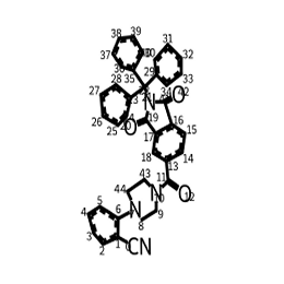 N#Cc1ccccc1N1CCN(C(=O)c2ccc3c(c2)C(=O)N(C(c2ccccc2)(c2ccccc2)c2ccccc2)C3=O)CC1